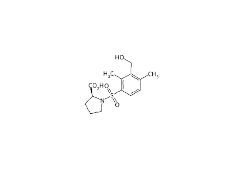 Cc1ccc(S(=O)(=O)N2CCC[C@H]2C(=O)O)c(C)c1CO